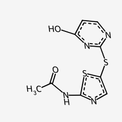 CC(=O)Nc1ncc(Sc2nccc(O)n2)s1